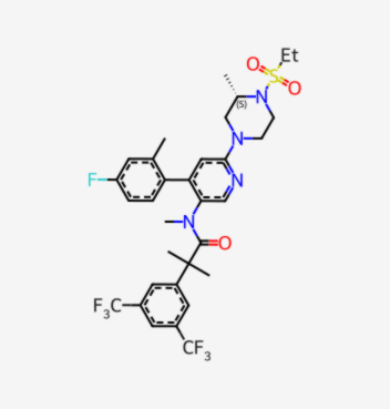 CCS(=O)(=O)N1CCN(c2cc(-c3ccc(F)cc3C)c(N(C)C(=O)C(C)(C)c3cc(C(F)(F)F)cc(C(F)(F)F)c3)cn2)C[C@@H]1C